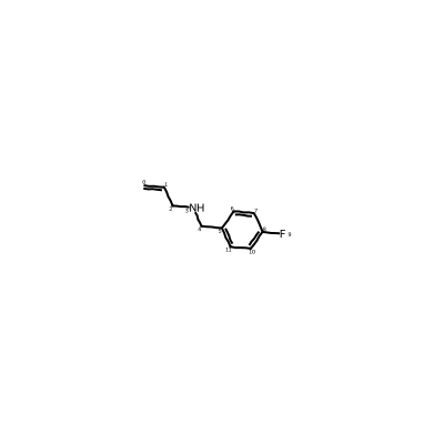 C=CCNCc1ccc(F)cc1